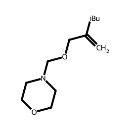 C=C(COCN1CCOCC1)C(C)CC